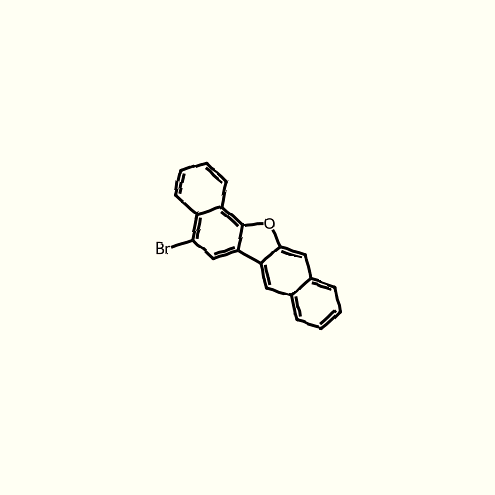 Brc1cc2c3cc4ccccc4cc3oc2c2ccccc12